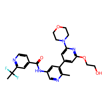 Cc1ncc(NC(=O)c2ccnc(C(C)(F)F)c2)cc1-c1cc(OCCO)nc(N2CCOCC2)c1